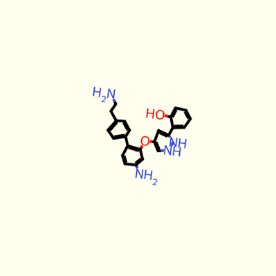 NCCc1ccc(-c2ccc(N)cc2OC2=CNNC(c3ccccc3O)=C2)cc1